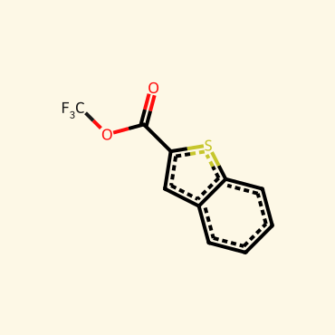 O=C(OC(F)(F)F)c1cc2ccccc2s1